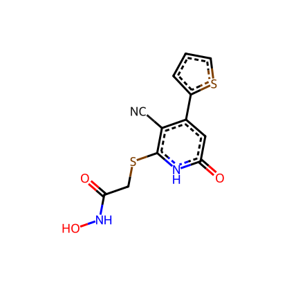 N#Cc1c(-c2cccs2)cc(=O)[nH]c1SCC(=O)NO